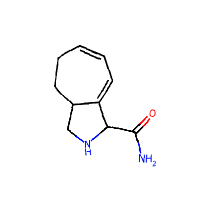 NC(=O)C1NCC2CCC=CC=C21